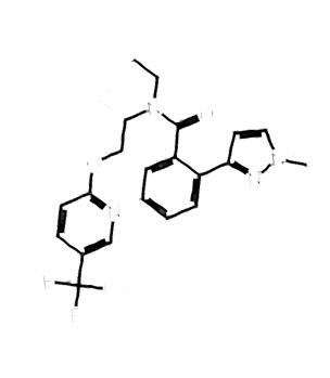 CCN(C(=O)c1ccccc1-c1ccn(C)n1)[C@@H](C)COc1ccc(C(F)(F)F)cn1